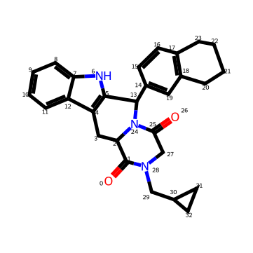 O=C1C2Cc3c([nH]c4ccccc34)C(c3ccc4c(c3)CCCC4)N2C(=O)CN1CC1CC1